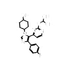 CC(C)Oc1nccc(-c2c(-c3ccc(F)cc3)ncn2C2CCC(O)CC2)n1